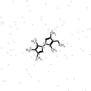 CCc1c(C)cn(-n2cc(C)c(C)c2C)c1C